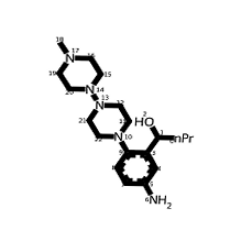 CCCC(O)c1cc(N)ccc1N1CCN(N2CCN(C)CC2)CC1